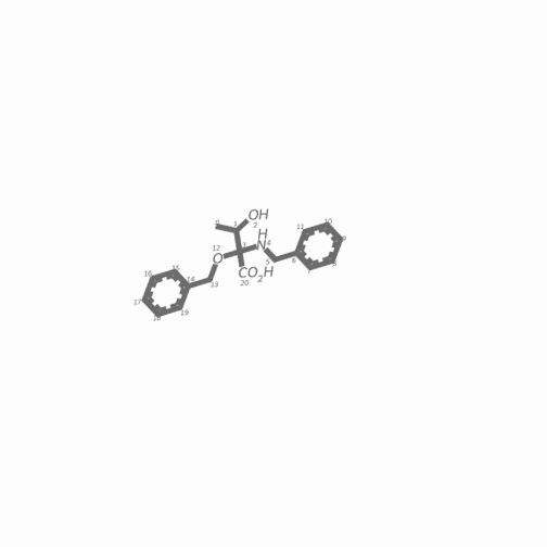 CC(O)C(NCc1ccccc1)(OCc1ccccc1)C(=O)O